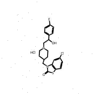 Cl.O=c1sc2ccc(Cl)cc2n1CC1CCN(CC(O)c2ccc(F)cc2)CC1